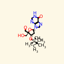 CC(C)(C)[Si](C)(C)O[C@H]1C[C@@H](n2cnc3c(=O)[nH]cnc32)O[C@]1(C=O)CO